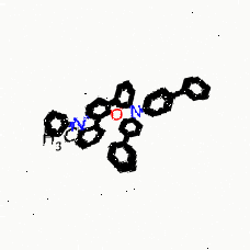 CC12C=CC=CC1c1c(ccc3c1oc1c(N(c4ccc(-c5ccccc5)cc4)c4ccc(-c5ccccc5)cc4)cccc13)N2c1ccccc1